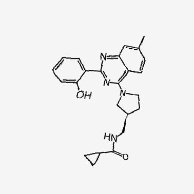 Cc1ccc2c(N3CC[C@@H](CNC(=O)C4CC4)C3)nc(-c3ccccc3O)nc2c1